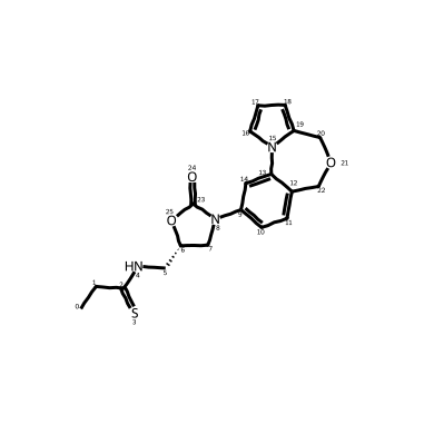 CCC(=S)NC[C@H]1CN(c2ccc3c(c2)-n2cccc2COC3)C(=O)O1